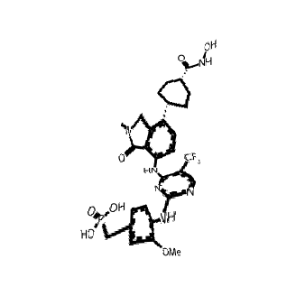 COc1cc(CP(=O)(O)O)ccc1Nc1ncc(C(F)(F)F)c(Nc2ccc([C@H]3CC[C@@H](C(=O)NO)CC3)c3c2C(=O)N(C)C3)n1